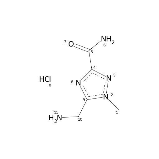 Cl.Cn1nc(C(N)=O)nc1CN